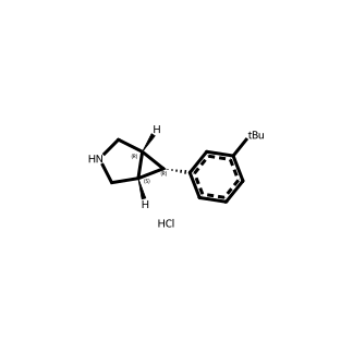 CC(C)(C)c1cccc([C@@H]2[C@@H]3CNC[C@@H]32)c1.Cl